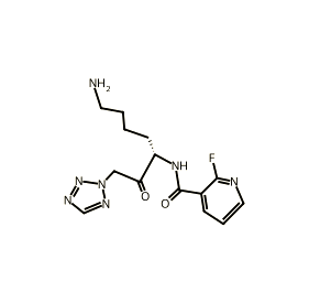 NCCCC[C@H](NC(=O)c1cccnc1F)C(=O)Cn1ncnn1